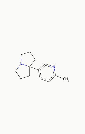 Cc1ccc(C23CCCN2CCC3)cn1